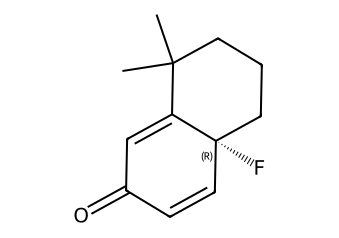 CC1(C)CCC[C@@]2(F)C=CC(=O)C=C12